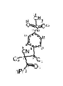 CCCC(=O)C(Cl)(C#N)C(=O)c1ccc(S(C)(=O)=O)cc1